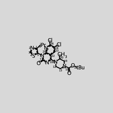 CC(C)c1ncsc1-n1c(=O)nc(N2CCN(C(=O)OC(C)(C)C)CC2C)c2cc(Cl)c(Cl)nc21